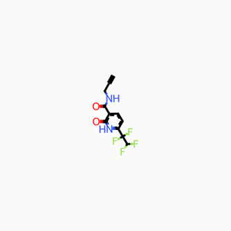 C#CCNC(=O)c1ccc(C(F)(F)C(F)F)[nH]c1=O